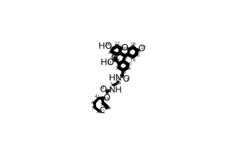 O=C(NCCNC(=O)c1ccc(-c2c3ccc(=O)cc-3oc3cc(O)ccc23)c(C(=O)O)c1)OC1/C=C/CCCCC1